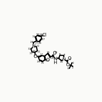 CC(C)(C)OC(=O)N1CC[C@H](NC(=O)c2cc3cc(OC4CCN(Cc5ccc(Cl)cc5)CC4)ccc3o2)C1